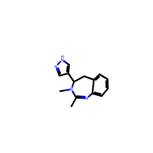 CC1=Nc2ccccc2CC(c2cn[nH]c2)N1C